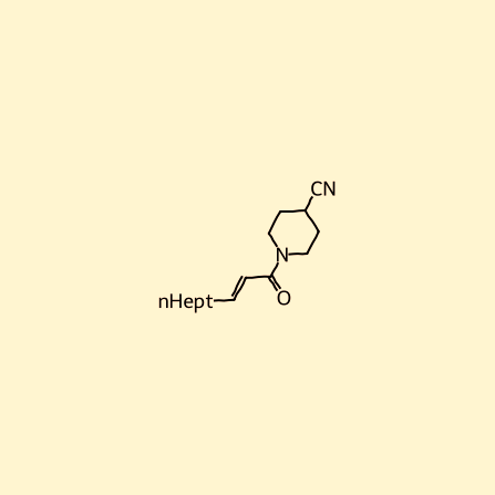 CCCCCCCC=CC(=O)N1CCC(C#N)CC1